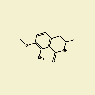 COc1ccc2c(c1N)C(=O)NC(C)C2